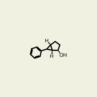 O[C@@H]1CC[C@H]2C(c3ccccc3)[C@@H]12